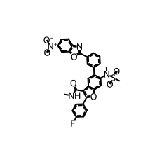 CNC(=O)c1c(-c2ccc(F)cc2)oc2cc(N(C)S(C)(=O)=O)c(-c3cccc(-c4nc5ccc([N+](=O)[O-])cc5o4)c3)cc12